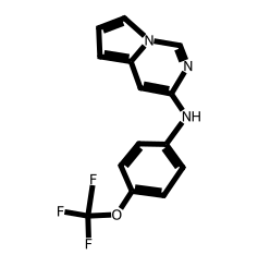 FC(F)(F)Oc1ccc(Nc2cc3cccn3cn2)cc1